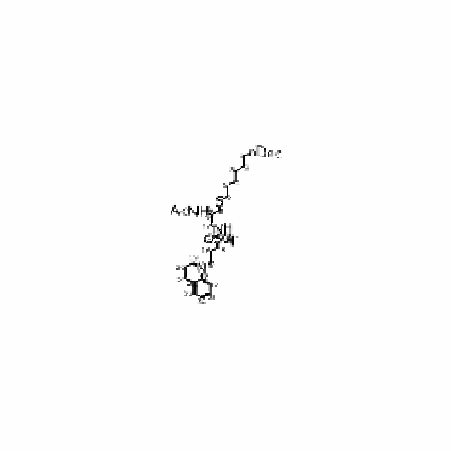 CCCCCCCCCCCCCCCCSCC(CNS(=O)(=O)CCC[n+]1cccc2ccccc21)NC(C)=O.[I-]